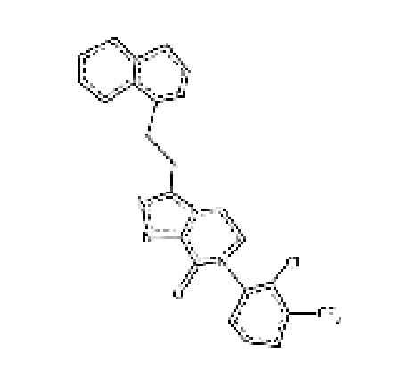 O=c1c2nnc(SCc3cccc4ccccc34)n2ccn1-c1cccc(C(F)(F)F)c1Cl